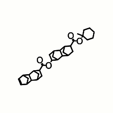 CC1(OC(=O)C2CC3CC2C2C4CC(OC(=O)C5CC6CC5C5C7C=CC(C7)C65)C(C4)C32)CCCCC1